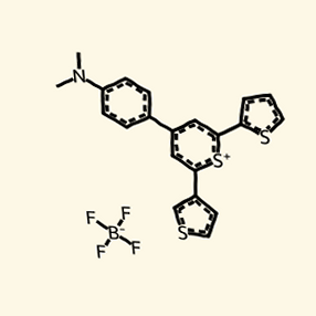 CN(C)c1ccc(-c2cc(-c3ccsc3)[s+]c(-c3cccs3)c2)cc1.F[B-](F)(F)F